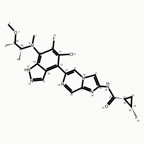 CO[C@@H](C)[C@@H](C)N(C)c1c(F)c(Cl)c(-c2cn3cc(NC(=O)[C@@H]4C[C@@H]4F)nc3cn2)c2cn[nH]c12